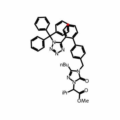 CCCCc1nn(C(C(=O)OC)C(C)C)c(=O)n1Cc1ccc(-c2ccccc2-c2nnnn2C(c2ccccc2)(c2ccccc2)c2ccccc2)cc1